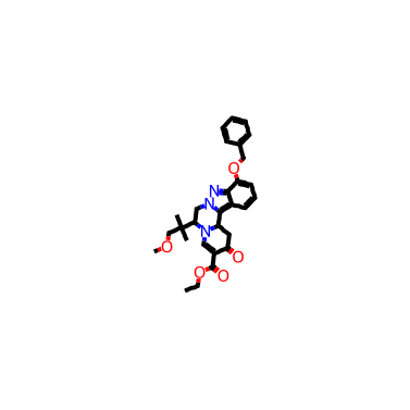 CCOC(=O)C1=CN2C(CC1=O)c1c3cccc(OCc4ccccc4)c3nn1CC2C(C)(C)COC